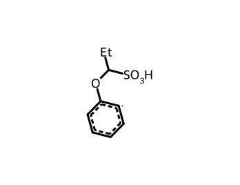 CCC(Oc1[c]cccc1)S(=O)(=O)O